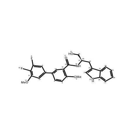 COc1ccc(-c2cc(F)c(F)c(OC)c2)cc1C(=O)N[C@@H](CO)Cc1c[nH]c2ccccc12